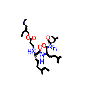 C=C/C(=C\C=C/C)COC(=O)CCN[C@@H](CCCC(C)CC)C(=O)NC(CCC(C)C)C(=O)N[C@H](C=O)CC(C)C